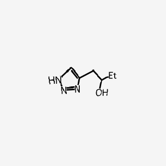 CCC(O)Cc1c[nH]nn1